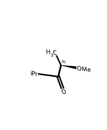 CO[C@H](C)C(=O)C(C)C